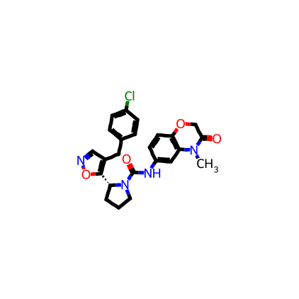 CN1C(=O)COc2ccc(NC(=O)N3CCC[C@@H]3c3oncc3Cc3ccc(Cl)cc3)cc21